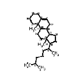 CC(C)CCCC(C)C1CCC2C3CC=C4C[CH]CCC4(C)C3CCC12C